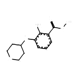 COC(=O)c1cccc(OC2CCOCC2)c1N